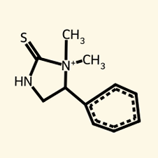 C[N+]1(C)C(=S)NCC1c1ccccc1